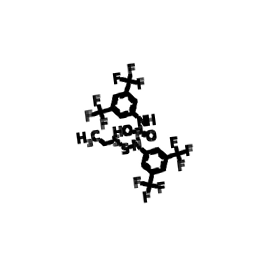 CCSSN(c1cc(C(F)(F)F)cc(C(F)(F)F)c1)P(=O)(O)Nc1cc(C(F)(F)F)cc(C(F)(F)F)c1